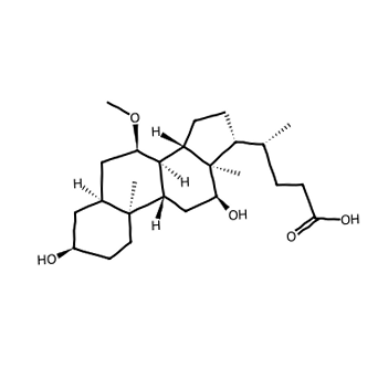 CO[C@@H]1C[C@@H]2C[C@H](O)CC[C@]2(C)[C@H]2C[C@H](O)[C@]3(C)[C@@H]([C@H](C)CCC(=O)O)CC[C@H]3[C@H]12